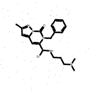 CCC(NCCCN(C)C)c1cc2cc(C)nn2c(=O)n1Cc1ccccc1